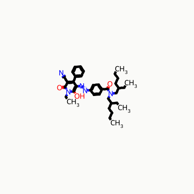 CCCCC(CC)CN(CC(CC)CCCC)C(=O)c1ccc(/N=N/c2c(-c3ccccc3)c(C#N)c(=O)n(CC)c2O)cc1